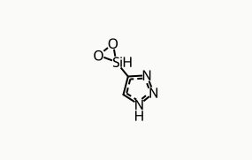 c1[nH]nnc1[SiH]1OO1